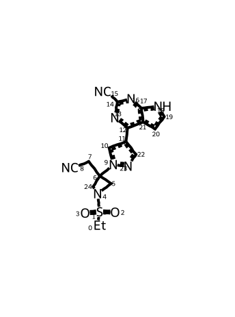 CCS(=O)(=O)N1CC(CC#N)(n2cc(-c3nc(C#N)nc4[nH]ccc34)cn2)C1